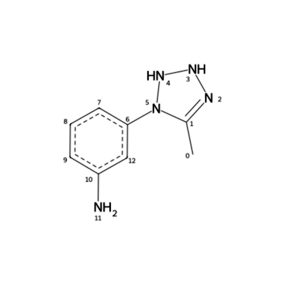 CC1=NNNN1c1cccc(N)c1